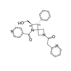 O=C(Cc1ccccn1)N1CC2(C1)[C@@H](c1ccccc1)[C@H](CO)N2C(=O)c1ccncc1